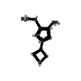 COc1nn(C2COC2)cc1N